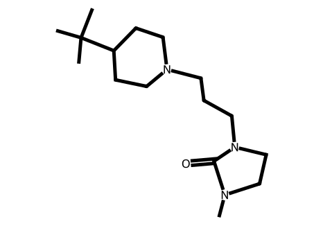 CN1CCN(CCCN2CCC(C(C)(C)C)CC2)C1=O